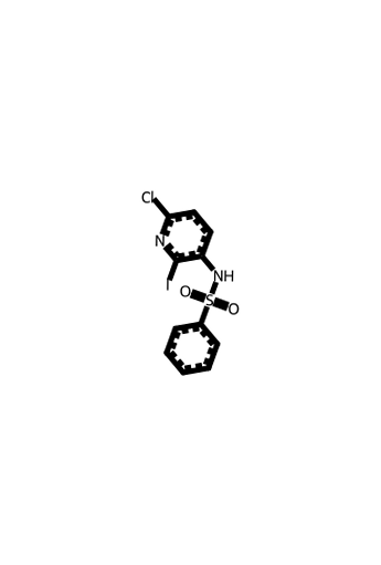 O=S(=O)(Nc1ccc(Cl)nc1I)c1ccccc1